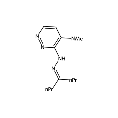 CCCC(CCC)=NNc1nnccc1NC